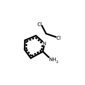 ClCCl.Nc1ccccn1